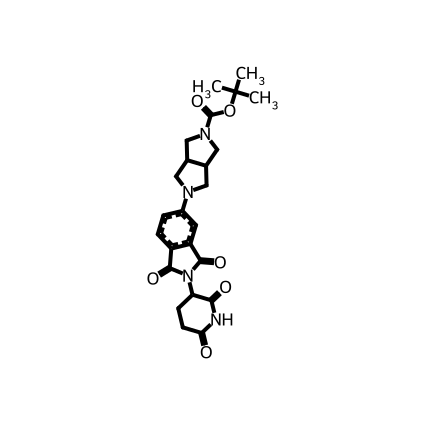 CC(C)(C)OC(=O)N1CC2CN(c3ccc4c(c3)C(=O)N(C3CCC(=O)NC3=O)C4=O)CC2C1